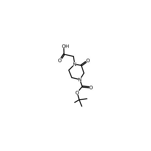 CC(C)(C)OC(=O)N1CCN(CC(=O)O)C(=O)C1